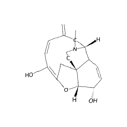 C=C1/C=C\C(O)=C2/C[C@]34CCN(C)[C@H](C1)C3C=C[C@H](O)[C@@H]4O2